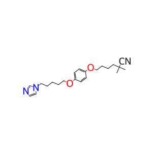 CC(C)(C#N)CCCCOc1ccc(OCCCCCn2ccnc2)cc1